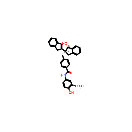 O=C(Nc1ccc(O)c(C(=O)O)c1)c1ccc(C[C@@]2(C3=Cc4ccccc4C3)Cc3ccccc3[C@H]2O)cc1